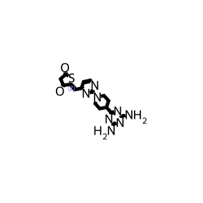 Nc1nc(N)nc(C2CCN(c3nccc(/C=C4\SC(=O)CC4=O)n3)CC2)n1